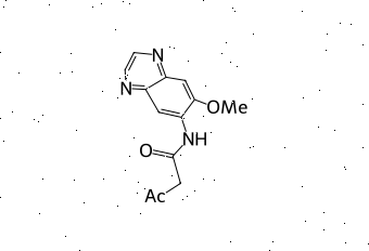 COc1cc2nccnc2cc1NC(=O)CC(C)=O